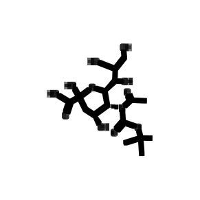 CC(=O)N(C(=O)OC(C)(C)C)[C@@H]1[C@@H](O)CC(O)(C(=O)O)O[C@H]1C(O)C(O)CO